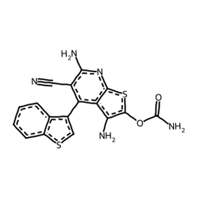 N#Cc1c(N)nc2sc(OC(N)=O)c(N)c2c1-c1csc2ccccc12